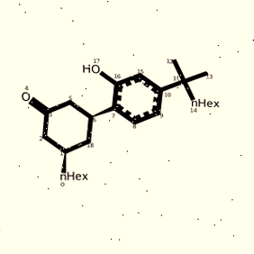 CCCCCC[C@H]1CC(=O)C[C@@H](c2ccc(C(C)(C)CCCCCC)cc2O)C1